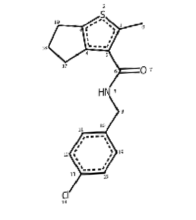 Cc1sc2c(c1C(=O)NCc1ccc(Cl)cc1)CCC2